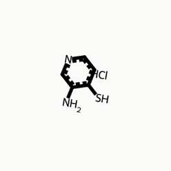 Cl.Nc1cnccc1S